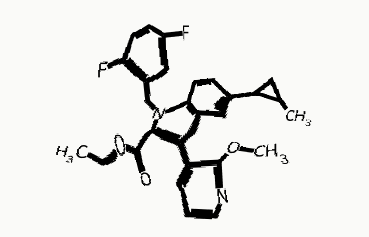 CCOC(=O)c1c(-c2cccnc2OC)c2cc(C3CC3C)ccc2n1Cc1cc(F)ccc1F